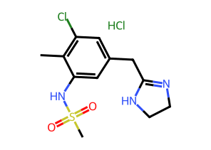 Cc1c(Cl)cc(CC2=NCCN2)cc1NS(C)(=O)=O.Cl